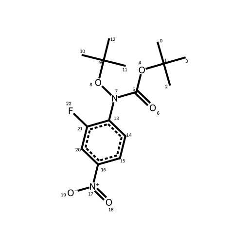 CC(C)(C)OC(=O)N(OC(C)(C)C)c1ccc([N+](=O)[O-])cc1F